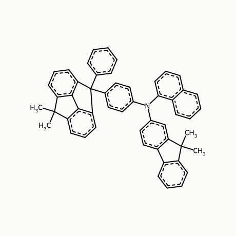 CC1(C)c2ccccc2-c2ccc(N(c3ccc(C4(c5ccccc5)c5cccc6c5-c5c(cccc54)C6(C)C)cc3)c3cccc4ccccc34)cc21